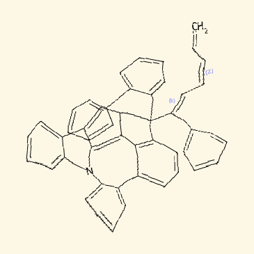 C=C/C=C\C=C(/c1ccccc1)C1(c2ccccc2-c2ccccc2)c2cccc3c2C2=c4c(c5ccccc5n4-c4ccccc4-3)=CC21